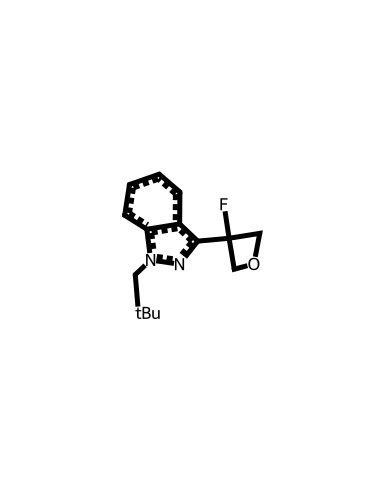 CC(C)(C)Cn1nc(C2(F)COC2)c2ccccc21